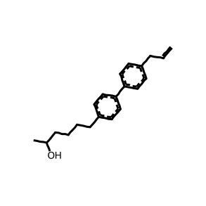 C=CCc1ccc(-c2ccc(CCCCC(C)O)cc2)cc1